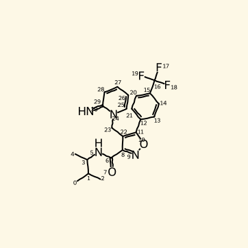 CC(C)C(C)NC(=O)c1noc(-c2ccc(C(F)(F)F)cc2)c1Cn1ccccc1=N